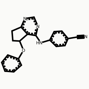 N#Cc1ccc(Nc2ncnc3c2C(Oc2ccccc2)CC3)cc1